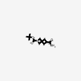 CC(C)(C)OC(=O)N1CC2(CC(C(N)=O)C2)C1